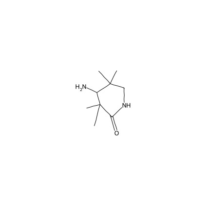 CC1(C)CNC(=O)C(C)(C)C1N